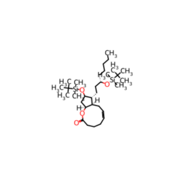 CCCCC[C@@H](CC[C@H]1C(O[Si](C)(C)C(C)(C)C)C[C@@H]2OC(=O)CCC/C=C\C[C@@H]21)O[Si](C)(C)C(C)(C)C